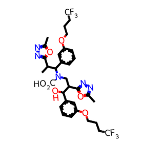 Cc1nnc(C(C)C(c2cccc(OCCCC(F)(F)F)c2)N(CC(c2nnc(C)o2)C(O)c2cccc(OCCCC(F)(F)F)c2)C(=O)O)o1